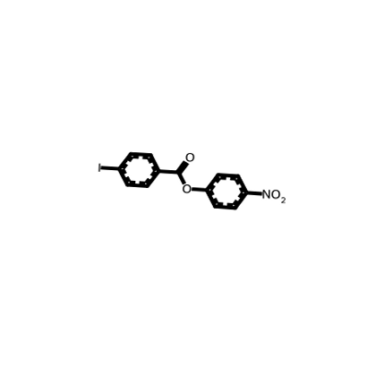 O=C(Oc1ccc([N+](=O)[O-])cc1)c1ccc(I)cc1